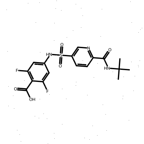 CC(C)(C)NC(=O)c1ccc(S(=O)(=O)Nc2cc(F)c(C(=O)O)c(F)c2)cn1